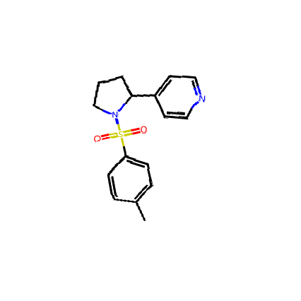 Cc1ccc(S(=O)(=O)N2CCCC2c2ccncc2)cc1